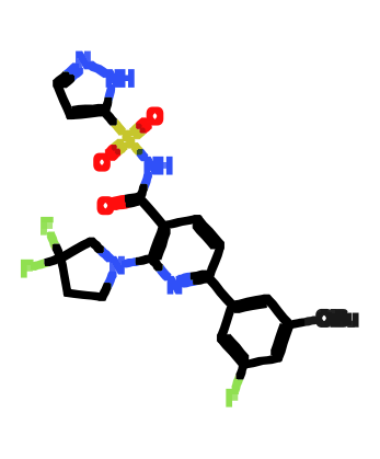 CC(C)COc1cc(F)cc(-c2ccc(C(=O)NS(=O)(=O)c3ccn[nH]3)c(N3CCC(F)(F)C3)n2)c1